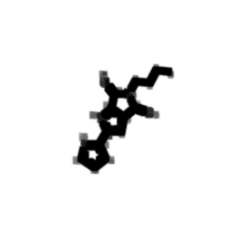 CCCCN1C(=O)c2cc(-c3cccs3)sc2C1=O